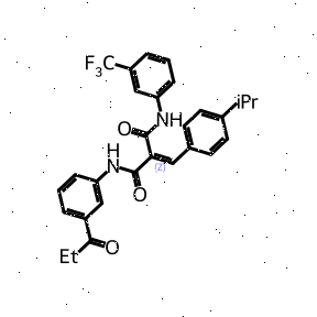 CCC(=O)c1cccc(NC(=O)/C(=C/c2ccc(C(C)C)cc2)C(=O)Nc2cccc(C(F)(F)F)c2)c1